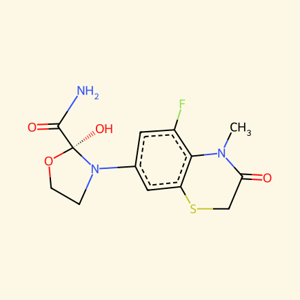 CN1C(=O)CSc2cc(N3CCO[C@@]3(O)C(N)=O)cc(F)c21